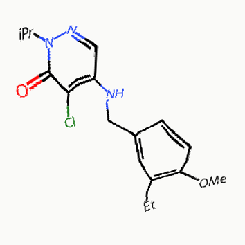 CCc1cc(CNc2cnn(C(C)C)c(=O)c2Cl)ccc1OC